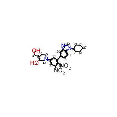 O=[N+]([O-])c1cc(N2CC[C@H](CO)[C@@H](O)C2)cc(-c2ccc3c(c2)ncn3C2CCCCC2)c1[N+](=O)[O-]